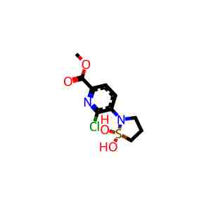 COC(=O)c1ccc(N2CCCS2(O)O)c(Cl)n1